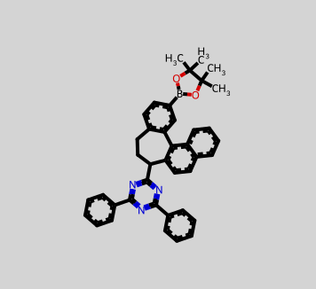 CC1(C)OB(c2ccc3c(c2)-c2c(ccc4ccccc24)C(c2nc(-c4ccccc4)nc(-c4ccccc4)n2)CC3)OC1(C)C